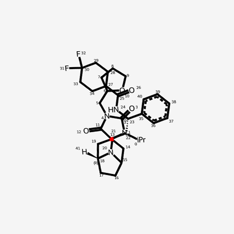 CC(C)N1C(=O)N(CC2CCCO2)C(=O)C12CC1CC[C@H](C2)N1CC[C@H](NC(=O)C1CCC(F)(F)CC1)c1ccccc1